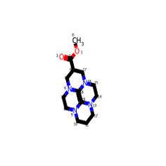 COC(=O)C1CN2CCN3CCCN4CCN(C1)C2=C34